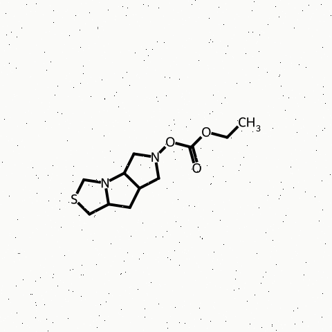 CCOC(=O)ON1CC2CC3CSCN3C2C1